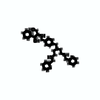 OC[C@@H](NCc1ccc(CN(CCNCc2ccccn2)CCNCc2ccccn2)cc1)[C@@H](O)c1ccccc1